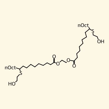 CCCCCCCCC(CCCCCCCCC(=O)OCCOC(=O)CCCCCCCCC(CCCCCCCC)SCCO)SCCO